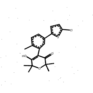 Cc1ccc(-c2ccc(Cl)s2)cc1C1=C(O)C(C)(C)OC(C)(C)C1=O